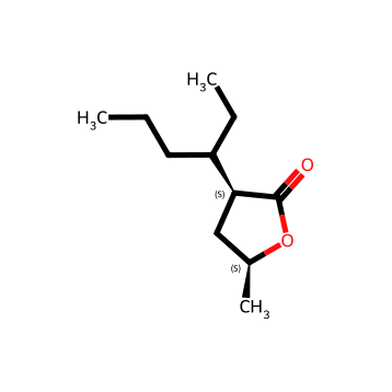 CCCC(CC)[C@@H]1C[C@H](C)OC1=O